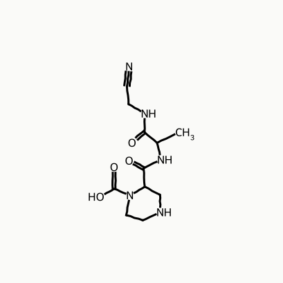 CC(NC(=O)C1CNCCN1C(=O)O)C(=O)NCC#N